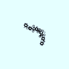 C/C=C1/C(=O)N(c2ccc(Oc3ccccc3)cc2)C(=O)/C1=C/C(C)S(=O)(=O)c1ccc2c(c1)C(=O)N(c1ccc(Oc3ccccc3)cc1)C2=O